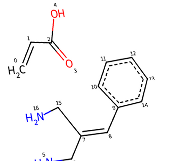 C=CC(=O)O.NCC(=Cc1ccccc1)CN